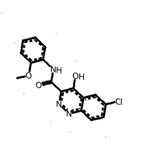 COc1ccccc1NC(=O)c1nnc2ccc(Cl)cc2c1O